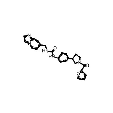 O=C(NCc1ccn2ccnc2c1)Nc1ccc(C2CCN(C(=O)c3ccco3)C2)cc1